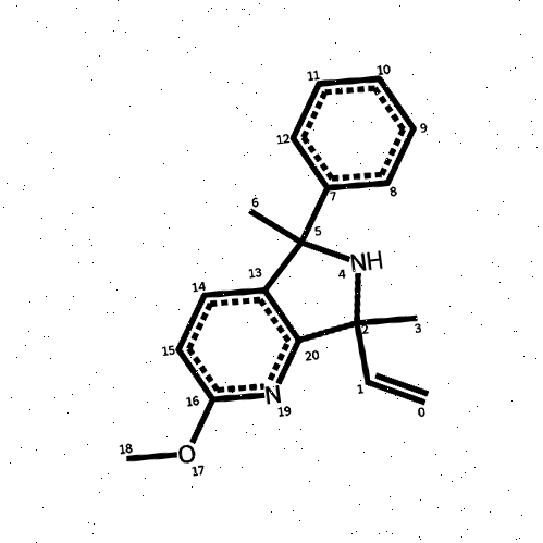 C=CC1(C)NC(C)(c2ccccc2)c2ccc(OC)nc21